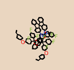 C=Cc1ccc(OC2=CC=C(C3(c4c(F)cc(F)cc4F)c4ccccc4-c4ccc(N(c5ccc(F)cc5)c5ccc6c(c5)C5(c7ccccc7-6)c6ccccc6-c6ccc(N(c7ccc(F)cc7)c7ccc8c(c7)C(c7ccc(Oc9ccc(C=C)cc9)cc7)(c7c(F)cc(F)cc7F)c7ccccc7-8)cc65)cc43)CC2)cc1